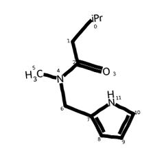 CC(C)CC(=O)N(C)Cc1ccc[nH]1